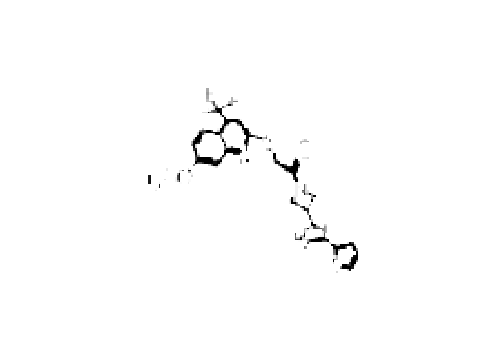 COc1ccc2c(C(F)(F)F)cc(SCC(=O)N3CC(c4nc(-c5cccs5)no4)C3)nc2c1